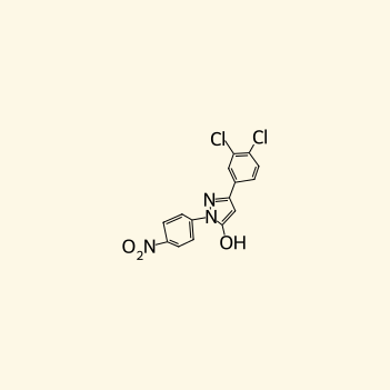 O=[N+]([O-])c1ccc(-n2nc(-c3ccc(Cl)c(Cl)c3)cc2O)cc1